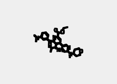 CCOC(=O)c1cc(-c2ccc(N(C)C3CCOCC3)nc2)c(C(=N)C(C)C)c(Nc2cccc(N(C)C)c2)n1